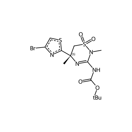 CN1C(NC(=O)OC(C)(C)C)=N[C@](C)(c2nc(Br)cs2)CS1(=O)=O